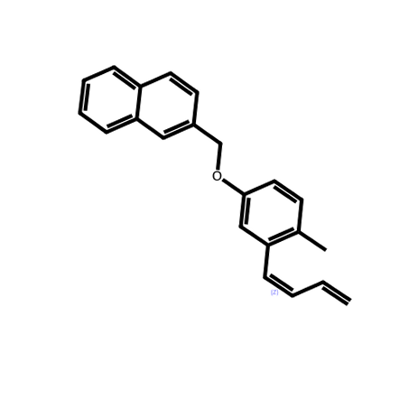 C=C/C=C\c1cc(OCc2ccc3ccccc3c2)ccc1C